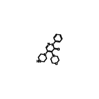 O=c1c(N2CCOCC2)c(N2CCNCC2)cnn1-c1ccccc1